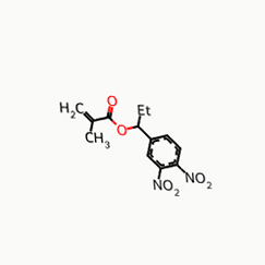 C=C(C)C(=O)OC(CC)c1ccc([N+](=O)[O-])c([N+](=O)[O-])c1